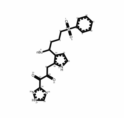 CCCCC(CCCS(=O)(=O)c1ccccc1)c1cc[nH]c1CC(=O)C(=O)c1nc[nH]n1